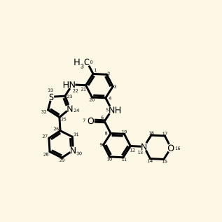 Cc1ccc(NC(=O)c2cccc(N3CCOCC3)c2)cc1Nc1nc(-c2cccnc2)cs1